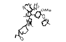 C=CC(=O)N1CCC(n2nc(-c3c(-c4ccc(Oc5cccc(C)n5)c(OC)c4)c4c(N)ncnc4n3C)cc2C)CC1